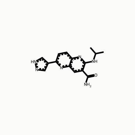 CC(C)Nc1nc2ccc(-c3cn[nH]c3)nc2cc1C(N)=O